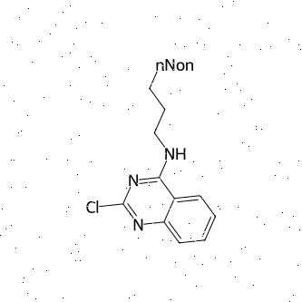 CCCCCCCCCCCCNc1nc(Cl)nc2ccccc12